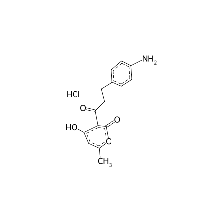 Cc1cc(O)c(C(=O)CCc2ccc(N)cc2)c(=O)o1.Cl